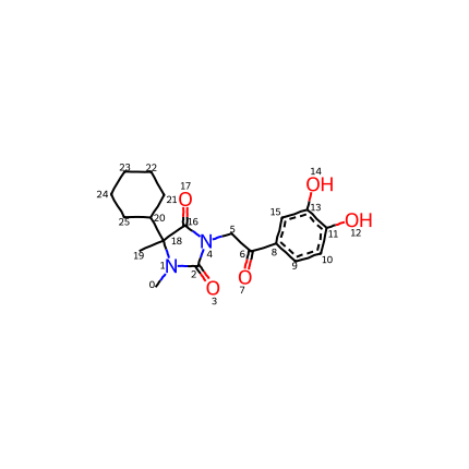 CN1C(=O)N(CC(=O)c2ccc(O)c(O)c2)C(=O)C1(C)C1CCCCC1